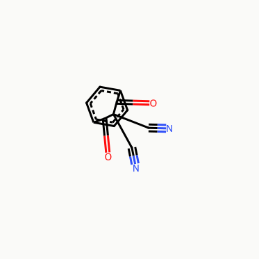 N#CC1(C#N)C(=O)c2ccc(cc2)C1=O